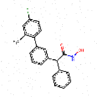 Cc1cc(F)ccc1-c1cccc(C(C(=O)NO)c2ccccc2)c1